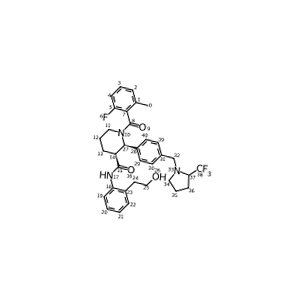 Cc1cccc(F)c1C(=O)N1CCC[C@H](C(=O)Nc2ccccc2CCO)[C@@H]1c1ccc(CN2CCCC2C(F)(F)F)cc1